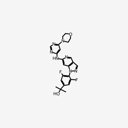 CC(C)(O)c1cc(F)c(-n2ncc3cnc(Nc4cc(N5CCOCC5)ncn4)cc32)c(F)c1